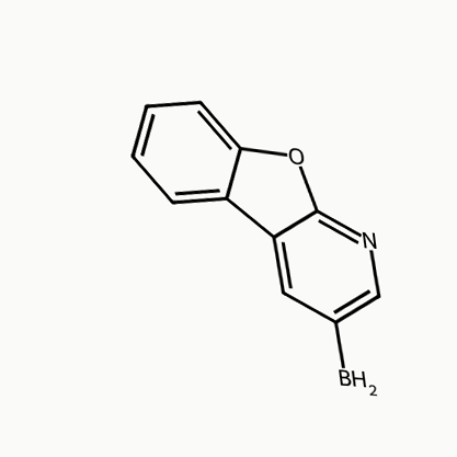 Bc1cnc2oc3ccccc3c2c1